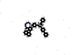 C=C1/C=C\C=C/CN(c2ccc(-c3cc(-c4ccc(-c5ccccc5)cc4)nc(-c4ccccc4)n3)cc2)c2ccc3c(c21)-c1cccc2cccc-3c12